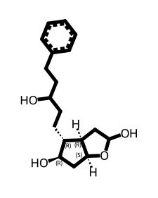 OC(CCc1ccccc1)CC[C@@H]1[C@H]2CC(O)O[C@H]2C[C@H]1O